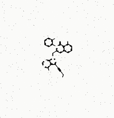 CCC#Cc1nn(Cc2cc3cccc(F)c3c(=O)n2-c2ccccc2C)c2ncnc(N)c12